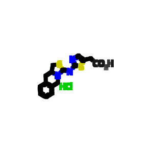 Cl.O=C(O)Cc1cnc(N=C2SCC3Cc4ccccc4CN23)s1